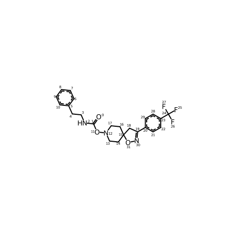 O=C(NCCc1ccccc1)ON1CCC2(CC1)CC(c1ccc(C(F)(F)F)cc1)=NO2